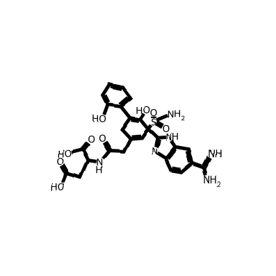 N=C(N)c1ccc2nc(C3(S(N)(=O)=O)C=C(CC(=O)NC(CC(=O)O)C(=O)O)CC(c4ccccc4O)=C3O)[nH]c2c1